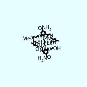 CCn1nc(C)cc1C(=O)Nc1nc2cc(C(N)=O)cc(OCCO)c2n1CC=CCn1c2nc(-c3cc(C)nn3CC)ncc2c2cc(C(N)=O)cc(OCCCOC)c21